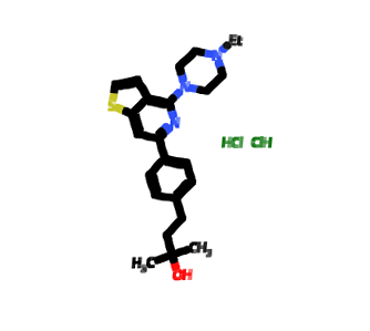 CCN1CCN(c2nc(-c3ccc(CCC(C)(C)O)cc3)cc3sccc23)CC1.Cl.Cl